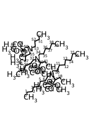 CCCCCCCCN(CCCCCCCC)C(CC)[Si](OC)(OC)OC.CCCCCCN(CCCCCC)C(CC)[Si](OC)(OC)OC.CCCCN(CCCC)C[Si](OC)(OC)OC